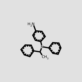 CC(c1ccccc1)N(c1ccccc1)c1ccc(N)cc1